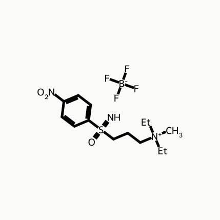 CC[N+](C)(CC)CCCS(=N)(=O)c1ccc([N+](=O)[O-])cc1.F[B-](F)(F)F